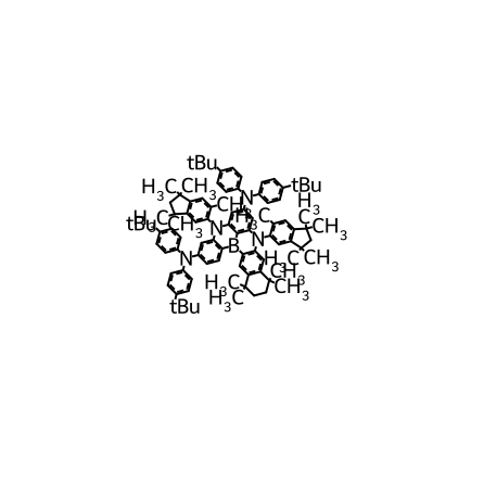 Cc1cc2c(cc1N1c3cc(N(c4ccc(C(C)(C)C)cc4)c4ccc(C(C)(C)C)cc4)ccc3B3c4cc5c(cc4N(c4cc6c(cc4C)C(C)(C)CC6(C)C)c4cc(N(c6ccc(C(C)(C)C)cc6)c6ccc(C(C)(C)C)cc6)cc1c43)C(C)(C)CCC5(C)C)C(C)(C)CC2(C)C